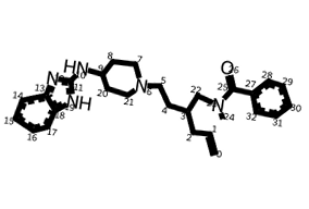 C=CCC(CCN1CCC(Nc2nc3ccccc3[nH]2)CC1)CN(C)C(=O)c1ccccc1